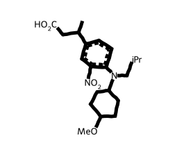 COC1CCC(N(CC(C)C)c2ccc(C(C)CC(=O)O)cc2[N+](=O)[O-])CC1